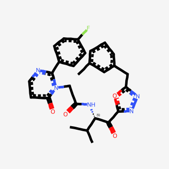 Cc1cccc(Cc2nnc(C(=O)[C@@H](NC(=O)Cn3c(-c4ccc(F)cc4)nccc3=O)C(C)C)o2)c1